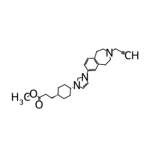 C#CCN1CCc2ccc(N3C=CN([C@H]4CC[C@H](CCC(=O)OC)CC4)C3)cc2CC1